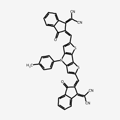 Cc1ccc(-n2c3cc(/C=C4\C(=O)c5ccccc5C4=C(C#N)C#N)sc3c3sc(/C=C4\C(=O)c5ccccc5C4=C(C#N)C#N)cc32)cc1